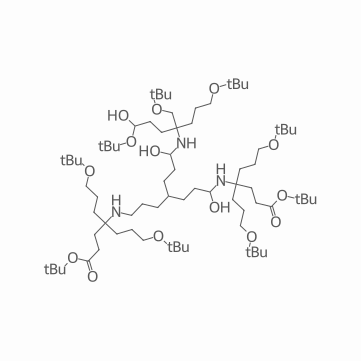 CC(C)(C)OCCCC(CCCOC(C)(C)C)(CCC(=O)OC(C)(C)C)NCCCC(CCC(O)NC(CCCOC(C)(C)C)(CCCOC(C)(C)C)CCC(=O)OC(C)(C)C)CCC(O)NC(CCCOC(C)(C)C)(CCC(O)OC(C)(C)C)COC(C)(C)C